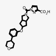 O=C(O)c1ccn(C(=O)N2CC3CC(Oc4cccc(C5CCOCC5)c4)CC3C2)n1